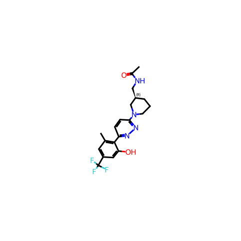 CC(=O)NC[C@H]1CCCN(c2ccc(-c3c(C)cc(C(F)(F)F)cc3O)nn2)C1